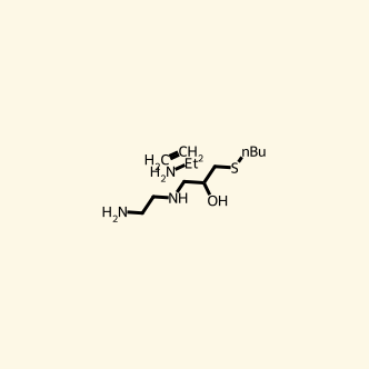 C=C.CCCCSCC(O)CNCCN.[CH2]CN